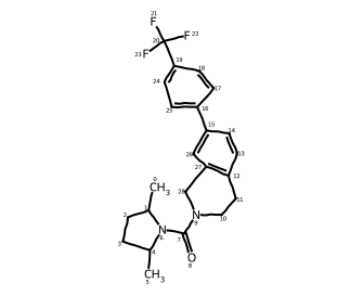 CC1CCC(C)N1C(=O)N1CCc2ccc(-c3ccc(C(F)(F)F)cc3)cc2C1